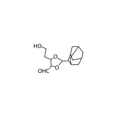 O=CC1OC(C2C3CC4CC(C3)CC2C4)OC1CCO